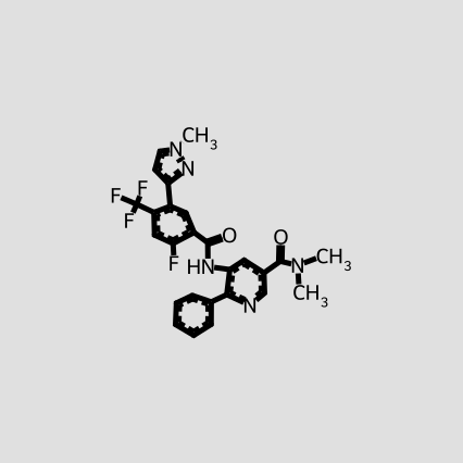 CN(C)C(=O)c1cnc(-c2ccccc2)c(NC(=O)c2cc(-c3ccn(C)n3)c(C(F)(F)F)cc2F)c1